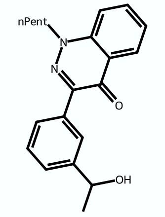 CCCCCn1nc(-c2cccc(C(C)O)c2)c(=O)c2ccccc21